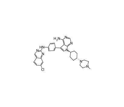 CN1CCN([C@H]2CC[C@H](n3cc(-c4ccc(Nc5ncc6ccc(Cl)cc6n5)cc4)c4c(N)ncnc43)CC2)CC1